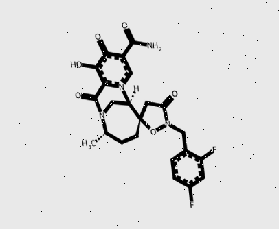 C[C@H]1CC[C@]2(CC(=O)N(Cc3ccc(F)cc3F)O2)[C@H]2CN1C(=O)c1c(O)c(=O)c(C(N)=O)cn12